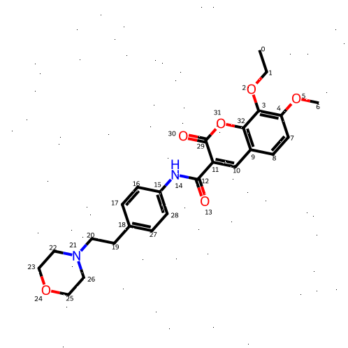 CCOc1c(OC)ccc2cc(C(=O)Nc3ccc(CCN4CCOCC4)cc3)c(=O)oc12